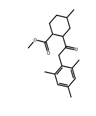 COC(=O)C1CCC(C)CC1C(=O)Cc1c(C)cc(C)cc1C